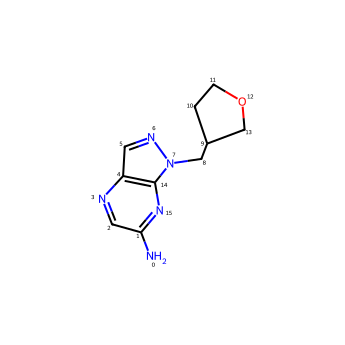 Nc1cnc2cnn(CC3CCOC3)c2n1